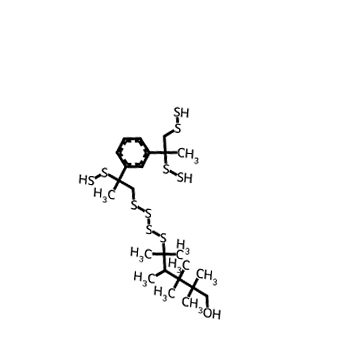 CC(C(C)(C)SSSSCC(C)(SS)c1cccc(C(C)(CSS)SS)c1)C(C)(C)C(C)(C)CO